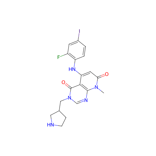 Cn1c(=O)cc(Nc2ccc(I)cc2F)c2c(=O)n(CC3CCNC3)cnc21